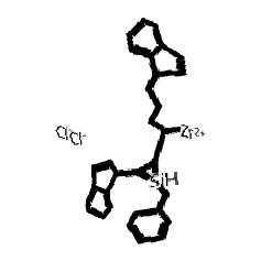 [Cl-].[Cl-].[Zr+2][CH](CCCC1C=Cc2ccccc21)C1C(C2C=Cc3ccccc32)[SiH]1Cc1ccccc1